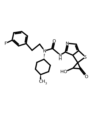 C[C@H]1CC[C@H](N(CCc2cccc(F)c2)C(=O)NC2=NC=C3SC4(C(=O)C4O)C32)CC1